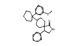 COc1cccc(C2(N3CCC4(CC3)C(=O)NCC4c3ccccc3)CCCCC2)c1